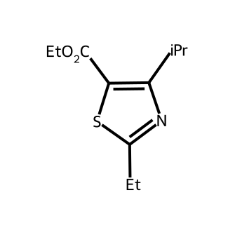 CCOC(=O)c1sc(CC)nc1C(C)C